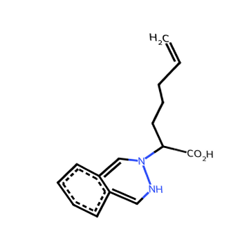 C=CCCCC(C(=O)O)N1C=c2ccccc2=CN1